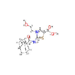 COCCn1cc(C(=O)OC)s/c1=N/C(=O)C12CC3CC(CC(C3)C1)C2